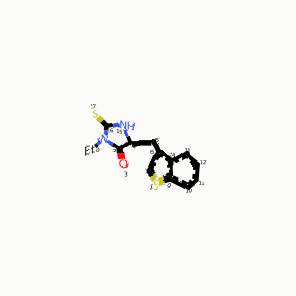 CCN1C(=O)C(=Cc2csc3ccccc23)NC1=S